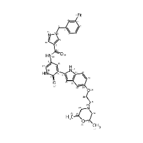 CCc1cccc(Cn2cc(C(=O)Nc3c[nH]c(=O)c(-c4cc5cc(OCCN6CC(C)OC(C)C6)ccc5[nH]4)c3)cn2)c1